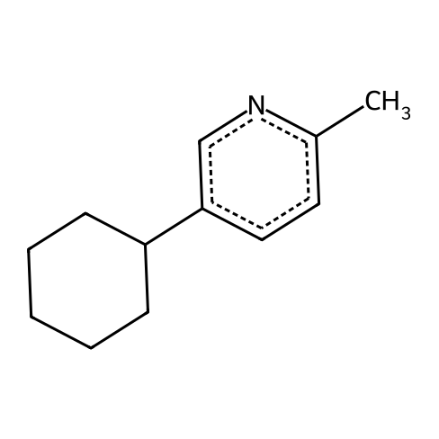 Cc1ccc(C2CCCCC2)cn1